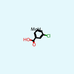 O=C(O)c1cccc(Cl)c1.[MgH2]